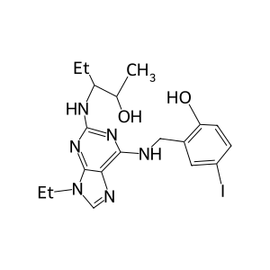 CCC(Nc1nc(NCc2cc(I)ccc2O)c2ncn(CC)c2n1)C(C)O